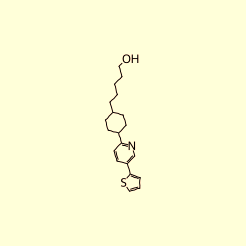 OCCCCCC1CCC(c2ccc(-c3cccs3)cn2)CC1